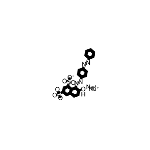 O=S(=O)([O-])c1cc(S(=O)(=O)[O-])c2c(N=Nc3ccc(N=Nc4ccccc4)cc3)c(O)ccc2c1.[Na+].[Na+]